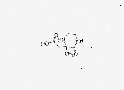 CC1(CC(=O)O)NCCNC1=O